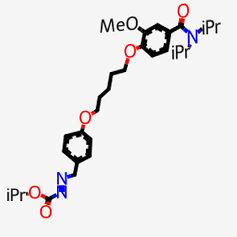 COc1cc(C(=O)N(C(C)C)C(C)C)ccc1OCCCCCOc1ccc(CN=NC(=O)OC(C)C)cc1